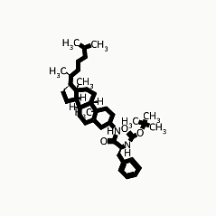 CC(C)CCC[C@@H](C)[C@H]1CC[C@H]2[C@@H]3CCC4CC(NC(=O)[C@H](Cc5ccccc5)NC(=O)OC(C)(C)C)CC[C@]4(C)[C@H]3CC[C@]12C